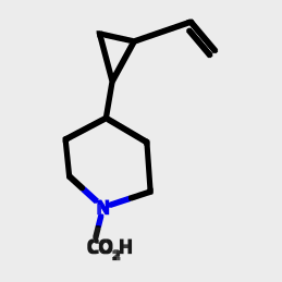 C=CC1CC1C1CCN(C(=O)O)CC1